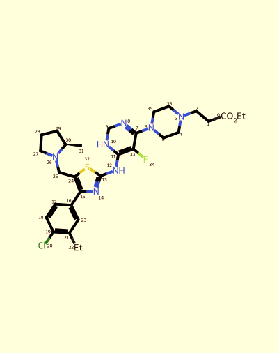 CCOC(=O)CCN1CCN(C2=NCNC(Nc3nc(-c4ccc(Cl)c(CC)c4)c(CN4CCC[C@H]4C)s3)=C2F)CC1